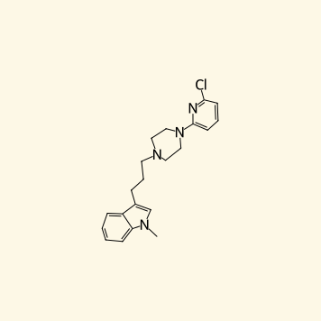 Cn1cc(CCCN2CCN(c3cccc(Cl)n3)CC2)c2ccccc21